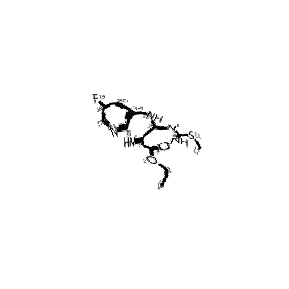 CCOC(=O)C(=N)/C(=N\C(=N)SC)Nc1cncc(F)c1